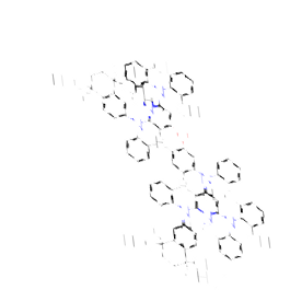 Cc1ccccc1N(c1cc2c3c(n1)N(c1ccc4c(c1)C(C)(C)CCC4(C)C)c1ccccc1B3c1cc3c(cc1O2)N(c1ccccc1)c1cc(N(c2ccccc2C)c2c(C)cccc2C)nc2c1B3c1ccccc1N2c1ccc2c(c1)C(C)(C)CCC2(C)C)c1c(C)cccc1C